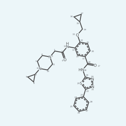 O=C(CN1CCN(C2CC2)CC1)Nc1cc(C(=O)Nc2nnc(-c3ccccc3)s2)ccc1OCC1CC1